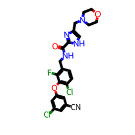 N#Cc1cc(Cl)cc(Oc2c(Cl)ccc(CNC(=O)c3nc(CN4CCOCC4)c[nH]3)c2F)c1